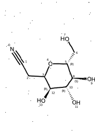 N#CCC1O[C@H](CO)[C@@H](O)[C@H](O)[C@H]1O